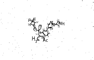 CC(=O)N1c2ccc(-c3cnn(C4CNC4)c3)cc2N(C(=O)OC2CC(F)(F)C2)C[C@@H]1C